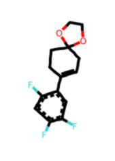 Fc1cc(F)c(C2=CCC3(CC2)OCCO3)cc1F